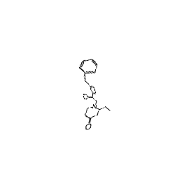 CCC1CC(=O)CCN1CC(=O)OCc1ccccc1